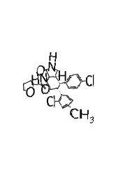 Cc1ccc([C@@H]2CC[C@@]3(NC(=O)C4CCCO4)C(=O)NC[C@H]3[C@H]2c2ccc(Cl)cc2)c(Cl)c1